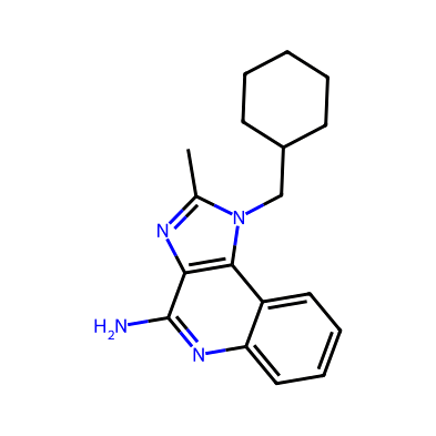 Cc1nc2c(N)nc3ccccc3c2n1CC1CCCCC1